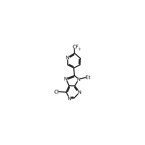 CCn1c(-c2ccc(C(F)(F)F)nc2)nc2c(Cl)ncnc21